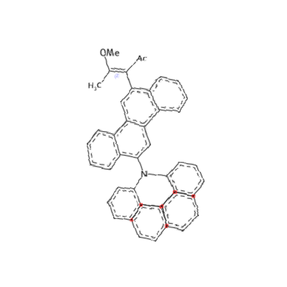 CO/C(C)=C(\C(C)=O)c1cc2c3ccccc3c(N(c3ccccc3-c3ccccc3)c3ccccc3-c3ccccc3)cc2c2ccccc12